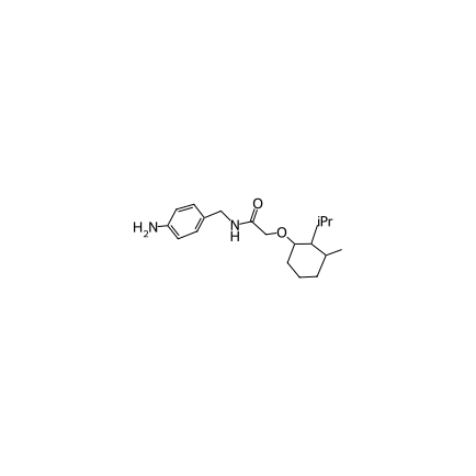 CC(C)C1C(C)CCCC1OCC(=O)NCc1ccc(N)cc1